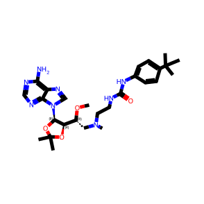 CO[C@H](CN(C)CCNC(=O)Nc1ccc(C(C)(C)C)cc1)[C@H]1OC(C)(C)O[C@H]1n1cnc2c(N)ncnc21